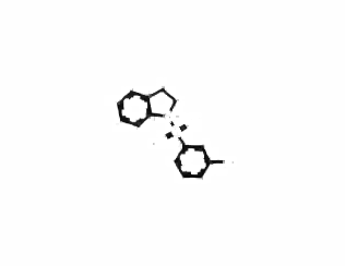 O=S(=O)(c1cccc(F)c1)N1CCc2ccccc21